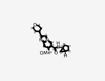 COc1cc2nc(C3CCOCC3)cn2cc1C(=O)N[C@@]12CCC[C@@H]1C2